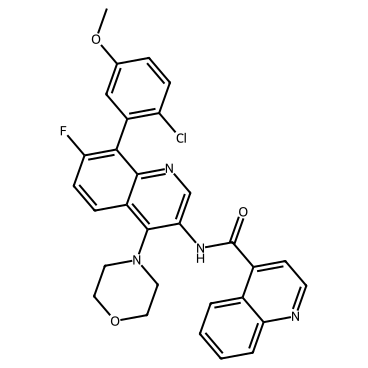 COc1ccc(Cl)c(-c2c(F)ccc3c(N4CCOCC4)c(NC(=O)c4ccnc5ccccc45)cnc23)c1